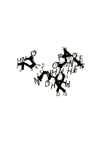 CC1(C)C[C@@H](C[C@@H](C#N)NC(=O)[C@@H]2[C@@H]3[C@H](CN2C(=O)[C@@H](NC(=O)C(F)(F)F)C2(F)CC2)C3(C)C)C(=O)N1